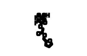 O=C(COC(=O)C(F)(F)S(=O)(=O)O)OCC1CCCO1